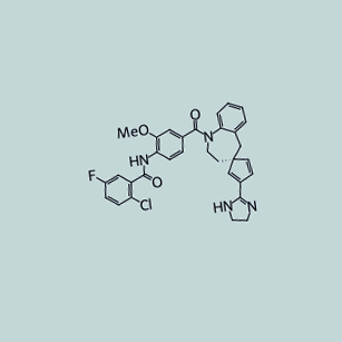 COc1cc(C(=O)N2CC[C@@]3(C=CC(C4=NCCN4)=C3)Cc3ccccc32)ccc1NC(=O)c1cc(F)ccc1Cl